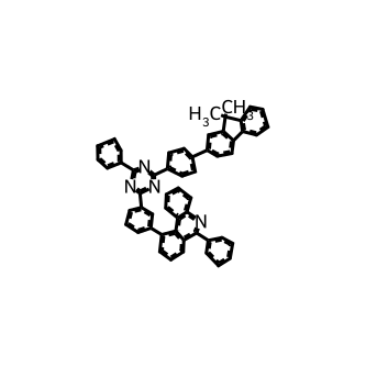 CC1(C)c2ccccc2-c2ccc(-c3ccc(-c4nc(-c5ccccc5)nc(-c5cccc(-c6cccc7c(-c8ccccc8)nc8ccccc8c67)c5)n4)cc3)cc21